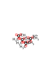 COc1cc([O-])cc(OC)c1.COc1cc([O-])cc(OC)c1.COc1cc([O-])cc(OC)c1.COc1cc([O-])cc(OC)c1.[Ti+4]